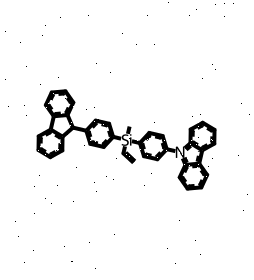 C=C[Si](C)(c1ccc(C2c3ccccc3-c3ccccc32)cc1)c1ccc(-n2c3ccccc3c3ccccc32)cc1